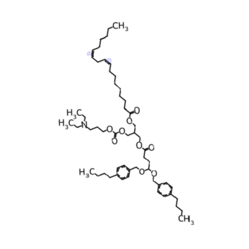 CCCCC/C=C\C/C=C\CCCCCCCC(=O)OCC(COC(=O)CCC(OCc1ccc(CCCC)cc1)OCc1ccc(CCCC)cc1)COC(=O)OCCCN(CC)CC